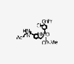 CCCOc1ccc(C(=O)N[C@H](CC(=O)NC)Cc2ccc(-c3c[nH]c(CCC(C)=O)n3)cc2)cc1Cl